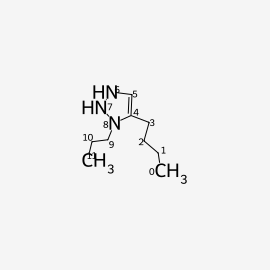 CCCCC1=CNNN1CCC